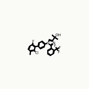 Cc1ccc(F)c(-c2ccc(-n3cc(C(C)(C)O)nc3-c3ccccc3C(F)(F)F)cc2)c1Cl